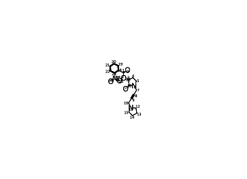 O=C(O[C@@H]1CCN(CC#CCN2CCCC2)C1=O)c1ccccc1[N+](=O)[O-]